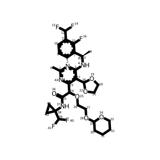 Cc1nc(N[C@H](C)c2cccc(C(F)F)c2F)c(C2OCCO2)c(C(OCCOC2CCCCO2)C(=O)NC2(C(F)F)CC2)n1